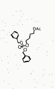 CC(=O)OCCCCOP(=O)(OCc1ccccc1)OCc1ccccc1